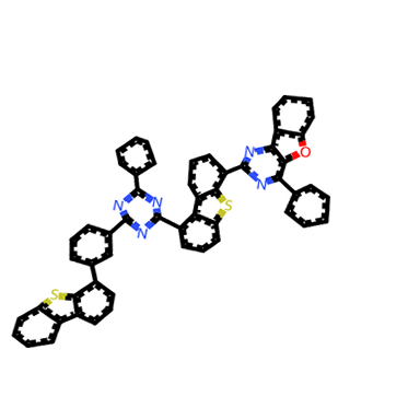 c1ccc(-c2nc(-c3cccc(-c4cccc5c4sc4ccccc45)c3)nc(-c3cccc4sc5c(-c6nc(-c7ccccc7)c7oc8ccccc8c7n6)cccc5c34)n2)cc1